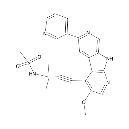 COc1cnc2[nH]c3cnc(-c4cccnc4)cc3c2c1C#CC(C)(C)NS(C)(=O)=O